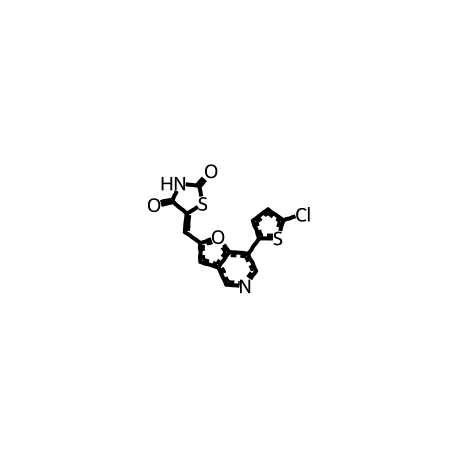 O=C1NC(=O)C(=Cc2cc3cncc(-c4ccc(Cl)s4)c3o2)S1